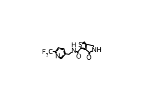 O=C(NCc1ccc(C(F)(F)F)nc1)c1scc2c1C(=O)NC2